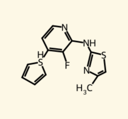 Cc1csc(Nc2nccc([SH]3C=CC=C3)c2F)n1